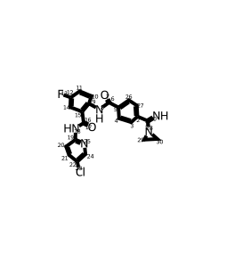 N=C(c1ccc(C(=O)Nc2ccc(F)cc2C(=O)Nc2ccc(Cl)cn2)cc1)N1CC1